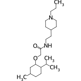 CCCN1CCC(CCNC(=O)COC2CC(C)CCC2C(C)C)CC1